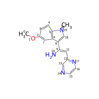 COc1ccc2c(c1)c(/C(N)=C/c1cnccn1)cn2C